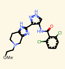 COCCN1CCc2[nH]c(-c3n[nH]cc3NC(=O)c3c(Cl)cccc3Cl)nc2C1